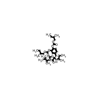 CCC(C)COC(=O)Oc1ccc(C[C@](NC(C)CC)(OC(=O)OC(C)C(C)C)C(=O)O)cc1OC(=O)OCC(C)CC